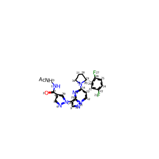 CC(=O)NNC(=O)c1cnn(-c2cnn3ccc(N4CCC[C@@H]4c4cc(F)ccc4F)nc23)c1